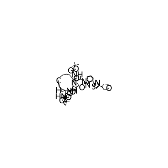 CC(C)n1c(O[C@@H]2C[C@H]3C(=O)N[C@]4(C(=O)NS(=O)(=O)C5(C)CC5)C[C@H]4/C=C\CCCCC[C@H](NC(=O)OC(C)(C)C)C(=O)N3C2)nc2c(-c3nc(C4CCOCC4)cs3)cccc21